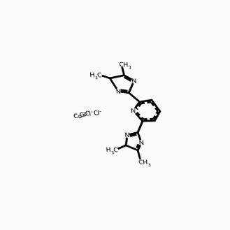 CC1=NC(c2cccc(C3=NC(C)C(C)=N3)n2)=NC1C.[Cl-].[Cl-].[Cl-].[Co+3]